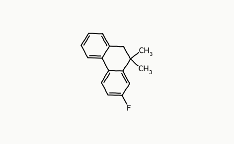 CC1(C)Cc2ccccc2-c2ccc(F)cc21